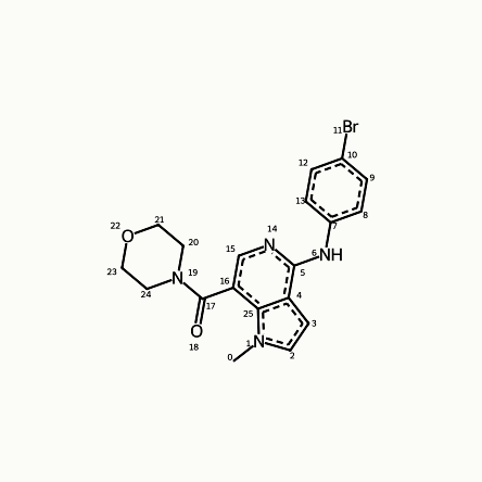 Cn1ccc2c(Nc3ccc(Br)cc3)ncc(C(=O)N3CCOCC3)c21